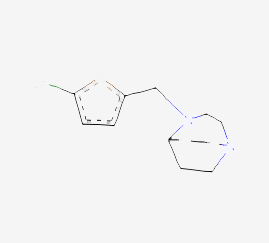 Brc1ccc(CN2CCN3CCC2CC3)s1